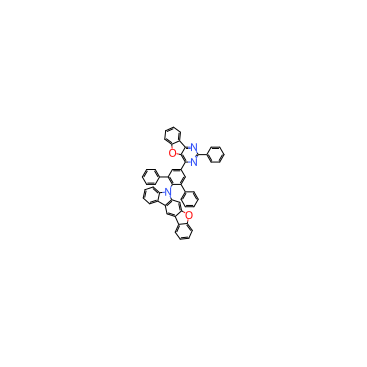 c1ccc(-c2nc(-c3cc(-c4ccccc4)c(-n4c5ccccc5c5cc6c(cc54)oc4ccccc46)c(-c4ccccc4)c3)c3oc4ccccc4c3n2)cc1